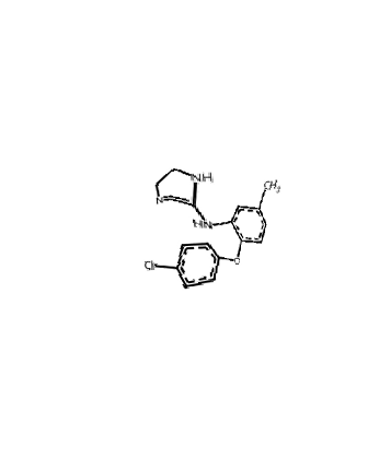 Cc1ccc(Oc2ccc(Cl)cc2)c(NC2=NCCN2)c1